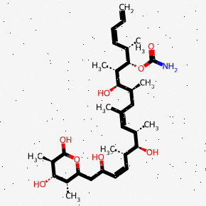 C=C/C=C\[C@H](C)[C@H](OC(N)=O)[C@@H](C)[C@H](O)[C@@H](C)C/C(C)=C\[C@H](C)[C@@H](O)[C@@H](C)/C=C\C(O)CC1OC(O)[C@H](C)[C@@H](O)[C@H]1C